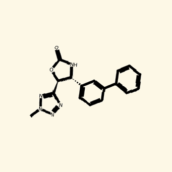 Cn1nnc([C@H]2OC(=O)N[C@@H]2c2cccc(-c3ccccc3)c2)n1